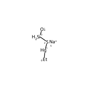 C[CH2][Hg][S][SiH2][O-].[Na+]